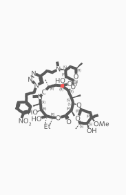 CC[C@H]1OC(=O)[C@H](C)[C@@H](O[C@H]2C[C@@](C)(OC)[C@@H](O)[C@H](C)O2)[C@H](C)[C@@H](O[C@@H]2O[C@H](C)C[C@H](N(C)CCc3cn(CCc4ccc([N+](=O)[O-])cc4)nn3)[C@H]2O)[C@](C)(O)C[C@@H](C)CN(C)[C@H](C)[C@@H](O)[C@]1(C)O